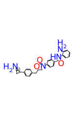 Nc1ccccc1NC(=O)c1ccc(N2CC(Cc3ccc(C4C[C@@H]4N)cc3)OC2=O)cc1